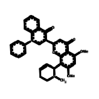 COc1cc(OC)c2c(=O)cc(-c3cn(-c4ccccc4)c4ccccc4c3=O)oc2c1C1C=CCCN1C